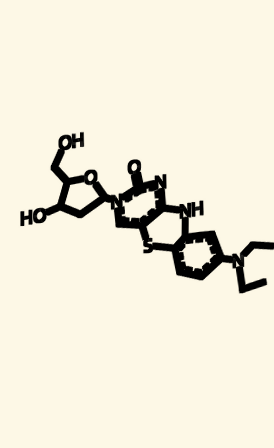 CCN(CC)c1ccc2c(c1)Nc1nc(=O)n(C3CC(O)C(CO)O3)cc1S2